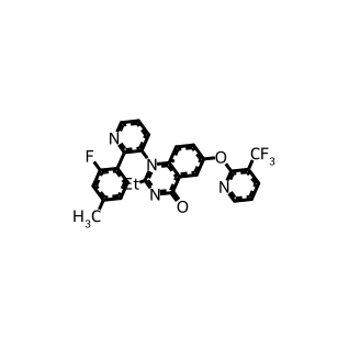 CCc1nc(=O)c2cc(Oc3ncccc3C(F)(F)F)ccc2n1-c1cccnc1-c1ccc(C)cc1F